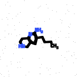 CCCCc1cc2c(nc1N)CCNC2